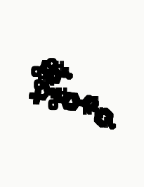 CS[C@H]1CN(C(=O)[C@H](CC(C)(C)C)NC(=O)c2ccc(-c3csc(N4CCN(C)CC4)n3)cc2)[C@@H]2C(=O)CO[C@H]12